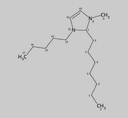 CCCCCCCC1N(C)C=CN1CCCCC